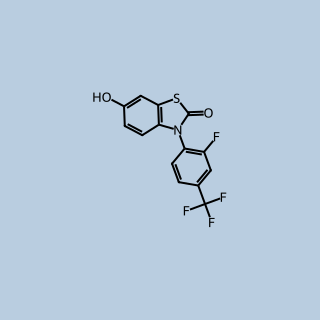 O=c1sc2cc(O)ccc2n1-c1ccc(C(F)(F)F)cc1F